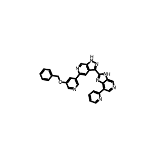 c1ccc(COc2cncc(-c3cc4c(-c5nc6c(-c7ccccn7)cncc6[nH]5)n[nH]c4cn3)c2)cc1